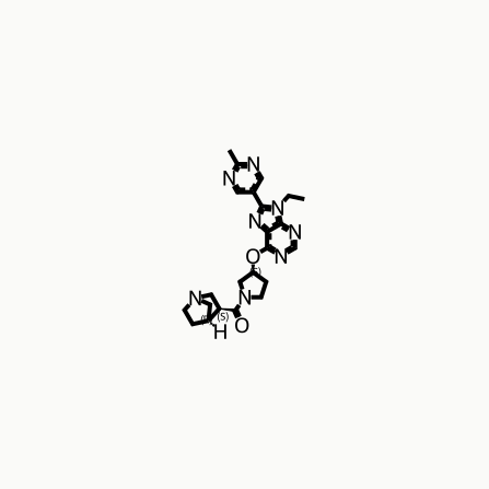 CCn1c(-c2cnc(C)nc2)nc2c(O[C@H]3CCN(C(=O)[C@@H]4CN5CC[C@H]4C5)C3)ncnc21